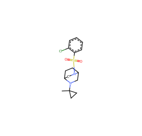 CC1(N2CC3CCC2CN3S(=O)(=O)c2ccccc2Cl)CC1